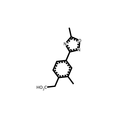 Cc1nc(-c2ccc(CC(=O)O)c(C)c2)no1